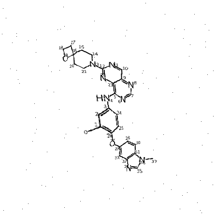 Cc1cc(Nc2ncnc3cnc(N4CCC5(CCO5)CC4)nc23)ccc1Oc1ccc2c(c1)ncn2C